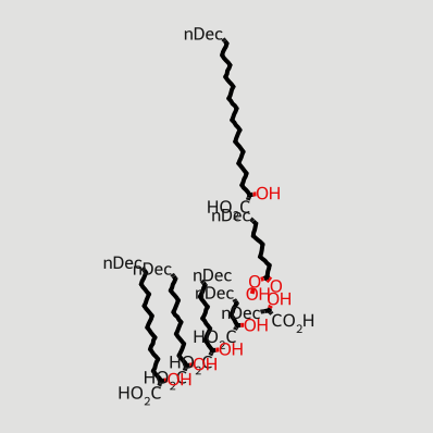 CCCCCCCCCCC(O)C(=O)O.CCCCCCCCCCCCC(O)C(=O)O.CCCCCCCCCCCCCCCC(=O)OO.CCCCCCCCCCCCCCCCC(O)C(=O)O.CCCCCCCCCCCCCCCCCCC(O)C(=O)O.CCCCCCCCCCCCCCCCCCCCC(O)C(=O)O.CCCCCCCCCCCCCCCCCCCCCCCCC(O)C(=O)O